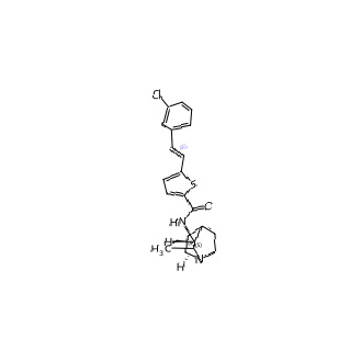 C[C@H]1[C@H](NC(=O)c2ccc(/C=C/c3cccc(Cl)c3)s2)C2CCN1CC2